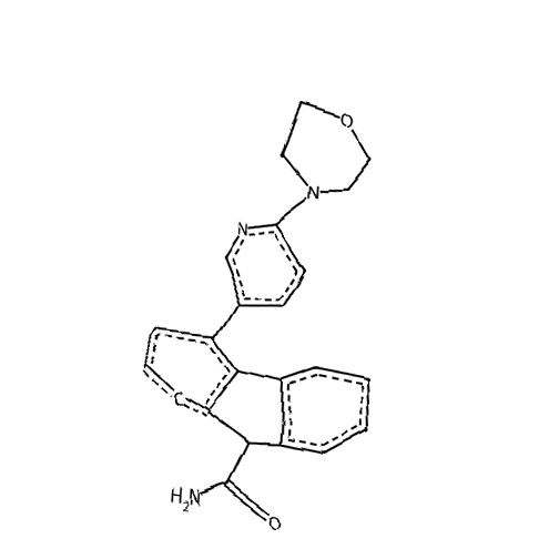 NC(=O)C1c2ccccc2-c2c(-c3ccc(N4CCOCC4)nc3)cccc21